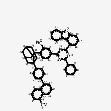 N#Cc1cc(-c2nc(-c3ccccc3)nc(-c3cccc4oc5ccccc5c34)n2)ccc1C12CC3CC(CC(c4ccc(-c5cccc6c(C#N)cccc56)cc4)(C3)C1)C2